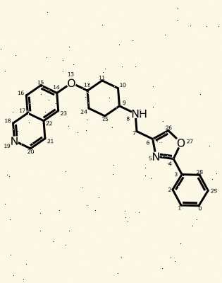 c1ccc(-c2nc(CNC3CCC(Oc4ccc5cnccc5c4)CC3)co2)cc1